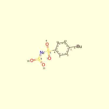 CCC(C)c1ccc(S(=O)(=O)N=S(=O)=O)cc1